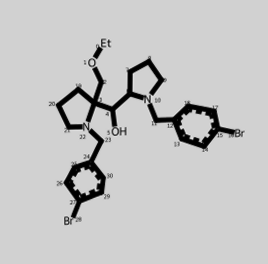 CCOCC1(C(O)C2CCCN2Cc2ccc(Br)cc2)CCCN1Cc1ccc(Br)cc1